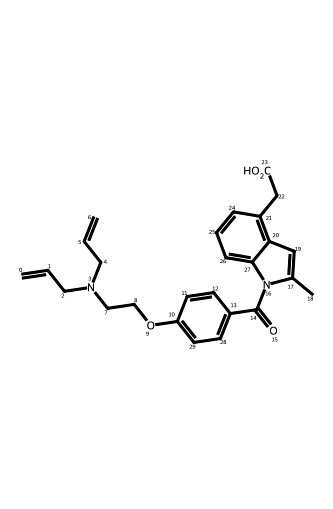 C=CCN(CC=C)CCOc1ccc(C(=O)n2c(C)cc3c(CC(=O)O)cccc32)cc1